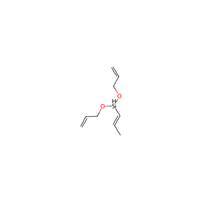 C=CCO[SiH](C=CC)OCC=C